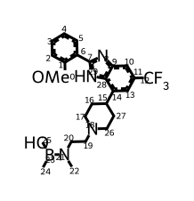 COc1ccccc1-c1nc2cc(C(F)(F)F)cc(C3CCN(CCN(C)B(C)O)CC3)c2[nH]1